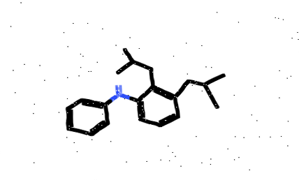 CC(C)Cc1cccc(Nc2ccccc2)c1CC(C)C